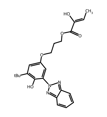 CC=C(O)C(=O)OCCCOc1cc(-n2nc3ccccc3n2)c(O)c(C(C)(C)C)c1